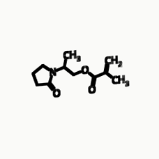 C=C(C)C(=O)OCC(C)N1CCCC1=O